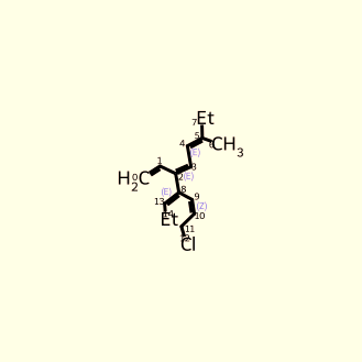 C=CC(=C\C=C(/C)CC)/C(/C=C\CCl)=C/CC